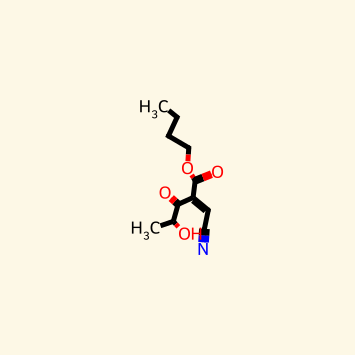 CCCCOC(=O)C(=CC#N)C(=O)C(C)O